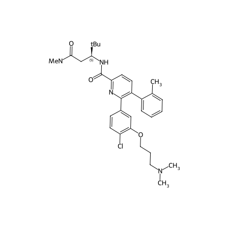 CNC(=O)C[C@H](NC(=O)c1ccc(-c2ccccc2C)c(-c2ccc(Cl)c(OCCCN(C)C)c2)n1)C(C)(C)C